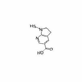 O=C(O)c1cnc2c(c1)CCN2S